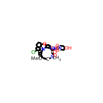 CO[C@H]1C=CCCN(C)C(=O)C[C@](O)(C(=O)NS(=O)(=O)N2CCC(O)CC2)c2ccc3c(c2)N(C[C@@H]2CC[C@H]21)C[C@@]1(CCCc2cc(Cl)ccc21)CO3